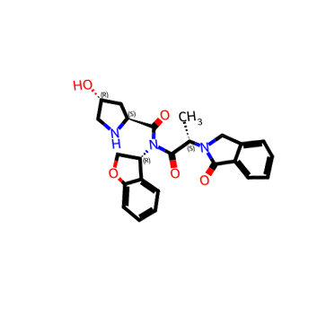 C[C@@H](C(=O)N(C(=O)[C@@H]1C[C@@H](O)CN1)[C@H]1COc2ccccc21)N1Cc2ccccc2C1=O